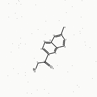 Cc1ccc2cc(C(=O)CBr)ccc2c1